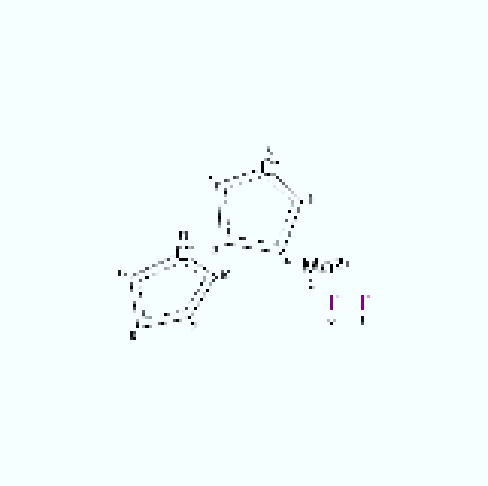 [I-].[I-].[Mo+2].c1cc[cH-]c1.c1cc[cH-]c1